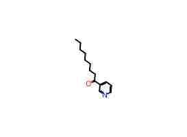 CCCCC[CH]CCC(=O)c1cccnc1